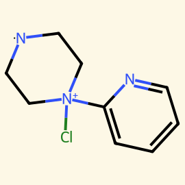 Cl[N+]1(c2ccccn2)CC[N]CC1